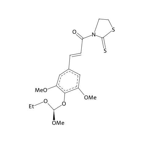 CCO[C@H](OC)Oc1c(OC)cc(/C=C/C(=O)N2CCSC2=S)cc1OC